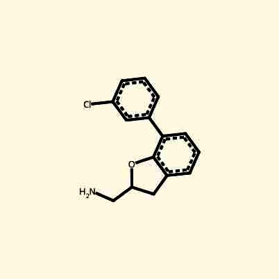 NCC1Cc2cccc(-c3cccc(Cl)c3)c2O1